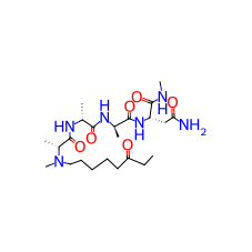 CCC(=O)CCCCCN(C)[C@H](C)C(=O)N[C@H](C)C(=O)N[C@H](C)C(=O)N[C@@H](CC(N)=O)C(=O)NC